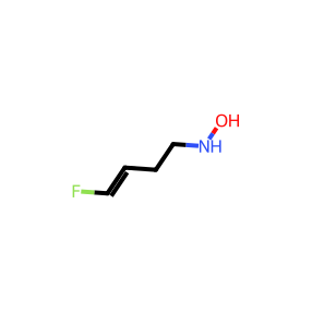 ONCCC=CF